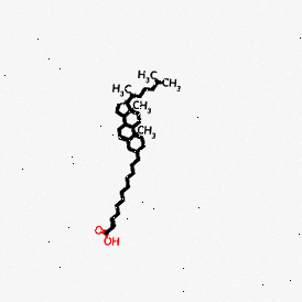 CC(C)CCC[C@@H](C)[C@H]1CCC2C3CC=C4CC(CCCCCCCCCC=CC(=O)O)CC[C@]4(C)C3CC[C@@]21C